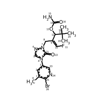 Cc1cc(-n2cnn(CC(=CF)C(OC(N)=O)C(C)(C)C)c2=O)cnc1Br